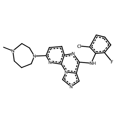 CN1CCCN(c2ccc3nc(Nc4c(F)cccc4Cl)c4cncn4c3n2)CC1